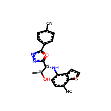 [C-]#[N+]c1ccc(N[C@@H](c2nnc(-c3ccc(C#N)cc3)o2)[C@H](C)O)c2ccsc12